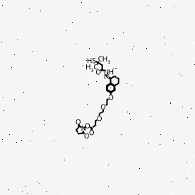 CC(C)(S)CC(=O)N/N=C1\CCCc2cc(OCCOCCOCCC(=O)ON3C(=O)CCC3=O)ccc21